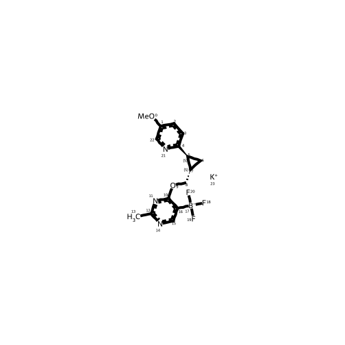 COc1ccc([C@H]2C[C@@H]2COc2nc(C)ncc2[B-](F)(F)F)nc1.[K+]